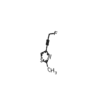 Cc1nc(C#CCF)cs1